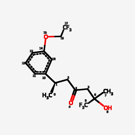 C[C@H](CC(=O)CC(C)(O)C(F)(F)F)c1cccc(OCC(F)(F)F)c1